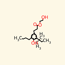 CCCCc1cc(CCC(=O)OCCO)cc(C(C)(C)CC)c1O